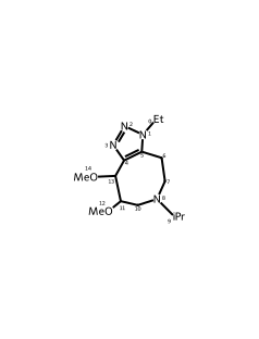 CCn1nnc2c1CCN(C(C)C)CC(OC)C2OC